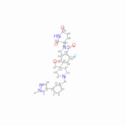 Cn1cc(-c2cccc(CN3CCC4(CC3)COc3c4cc(F)c4c3CN([C@H]3CCC(=O)NC3=O)C4=O)c2)cn1